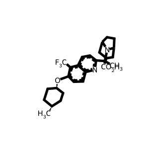 CC(c1ccc2c(C(F)(F)F)c(O[C@H]3CC[C@@H](C)CC3)ccc2n1)N1C2CCC1CC(C(=O)O)C2